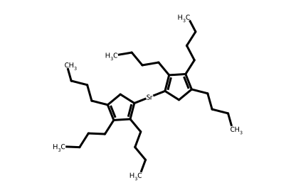 CCCCC1=C(CCCC)C(CCCC)=[C]([Sr][C]2=C(CCCC)C(CCCC)=C(CCCC)C2)C1